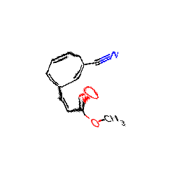 COC(=O)/C=C\c1cccc(C#N)c1